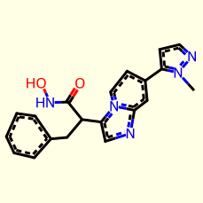 Cn1nccc1-c1ccn2c(C(Cc3ccccc3)C(=O)NO)cnc2c1